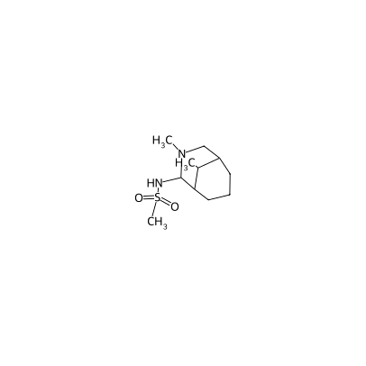 CC1C2CCCC1C(NS(C)(=O)=O)N(C)C2